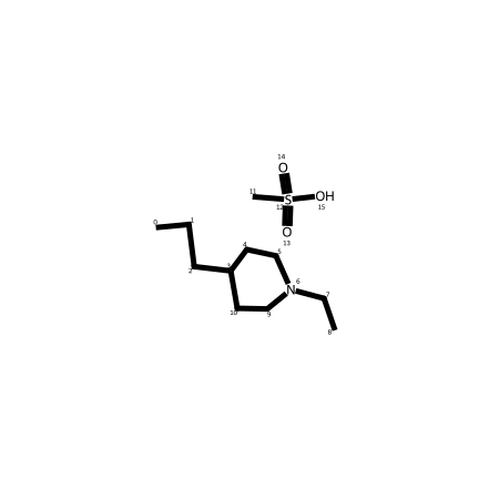 CCCC1CCN(CC)CC1.CS(=O)(=O)O